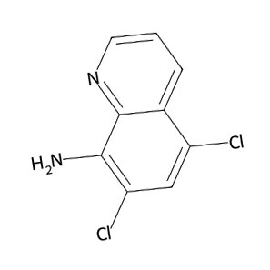 Nc1c(Cl)cc(Cl)c2cccnc12